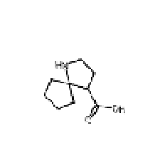 O=C(O)C1CCNC12CCCC2